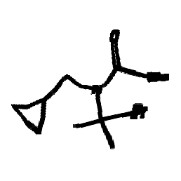 CC(C)C(C)(C)N(CC1CC1)C(=O)C(C)(C)C